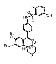 CCOc1cc2c(cc1OCC)[C@H]1CN(C)CC[C@H]1N=C2c1ccc(NS(=O)(=O)c2cc(O)ccc2C)cc1